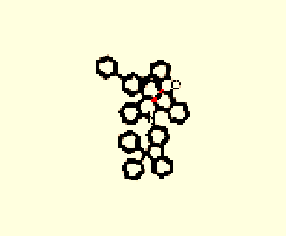 c1ccc(-c2cccc(-c3cccc4oc5c6ccccc6c(N(c6ccc7c(c6)C(c6ccccc6)(c6ccccc6)c6ccccc6-7)c6ccccc6-c6ccccc6)cc5c34)c2)cc1